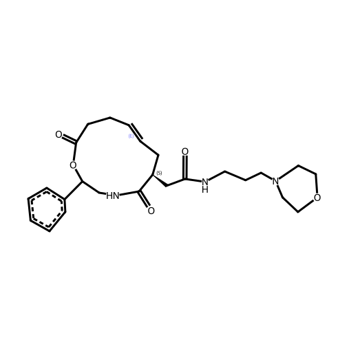 O=C(C[C@@H]1C/C=C/CCC(=O)OC(c2ccccc2)CNC1=O)NCCCN1CCOCC1